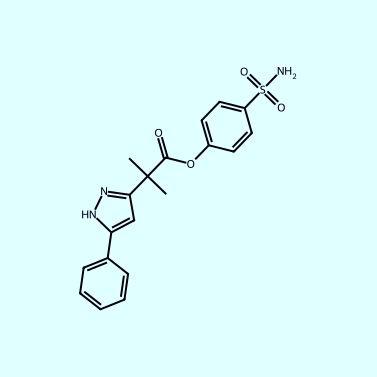 CC(C)(C(=O)Oc1ccc(S(N)(=O)=O)cc1)c1cc(-c2ccccc2)[nH]n1